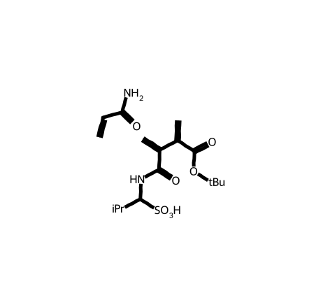 C=C(C(=C)C(=O)OC(C)(C)C)C(=O)NC(C(C)C)S(=O)(=O)O.C=CC(N)=O